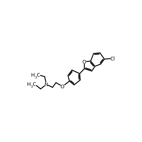 CCN(CC)CCOc1ccc(-c2cc3cc(Cl)ccc3o2)cc1